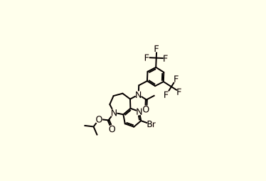 CC(=O)N(Cc1cc(C(F)(F)F)cc(C(F)(F)F)c1)C1CCCN(C(=O)OC(C)C)c2ccc(Br)nc21